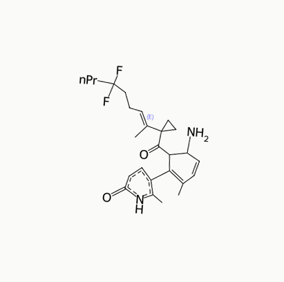 CCCC(F)(F)CC/C=C(\C)C1(C(=O)C2C(c3ccc(=O)[nH]c3C)=C(C)C=CC2N)CC1